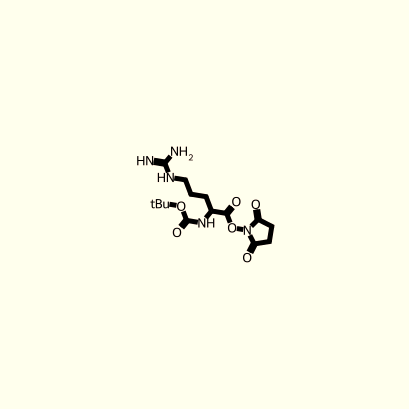 CC(C)(C)OC(=O)NC(CCCNC(=N)N)C(=O)ON1C(=O)CCC1=O